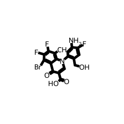 Cc1c(F)c(F)c(Br)c2c(=O)c(C(=O)O)cn(-c3cc(N)c(F)cc3CO)c12